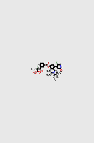 COc1cc(-c2ccc(OC(=O)c3cccc([C@H](O)C(C)(F)C(=O)O)c3)cc2CN(C(C)C)C(C)C)c(F)cn1